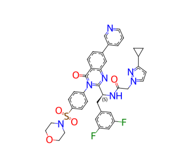 O=C(Cn1ccc(C2CC2)n1)N[C@@H](Cc1cc(F)cc(F)c1)c1nc2cc(-c3cccnc3)ccc2c(=O)n1-c1ccc(S(=O)(=O)N2CCOCC2)cc1